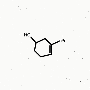 CCCC1=CCCC(O)C1